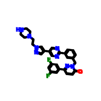 O=c1ccc(-c2cc(F)cc(F)c2)nn1Cc1cccc(-c2ncc(-c3cnn(CCN4CCNCC4)c3)cn2)c1